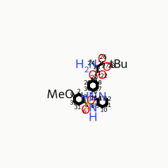 COc1ccc(S(=O)(=O)Nc2cccnc2Nc2ccc(OC(=O)C(N)C(=O)OC(C)(C)C)cc2)cc1